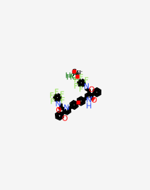 Cl.Cl.O=C(C=Nc1c(F)c(F)c(F)c(F)c1F)c1cc(-c2ccccc2)[nH]c(=O)c1-c1ccccc1.O=C1CC=CC=C1c1ccc(-c2ccccc2)nc1C(=O)C=Nc1c(F)c(F)c(F)c(F)c1F.[Cu].[Ni]